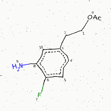 CC(=O)OCCc1ccc(F)c(N)c1